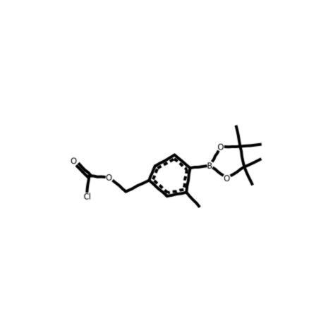 Cc1cc(COC(=O)Cl)ccc1B1OC(C)(C)C(C)(C)O1